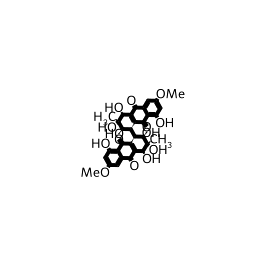 COc1cc(O)c2c(c1)C(=O)C1=C(C2=O)[C@H]([C@H]2C3=C(C(=O)c4cc(OC)cc(O)c4C3=O)[C@H](O)[C@](C)(O)[C@H]2O)[C@H](O)[C@@](C)(O)[C@H]1O